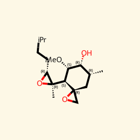 CO[C@@H]1[C@H](O)[C@H](C)C[C@]2(CO2)[C@H]1[C@@]1(C)O[C@@H]1CCC(C)C